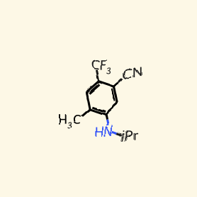 Cc1cc(C(F)(F)F)c(C#N)cc1NC(C)C